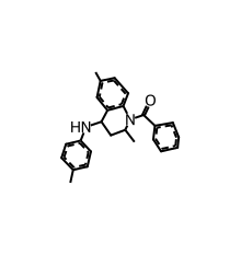 Cc1ccc(NC2CC(C)N(C(=O)c3ccccc3)c3ccc(C)cc32)cc1